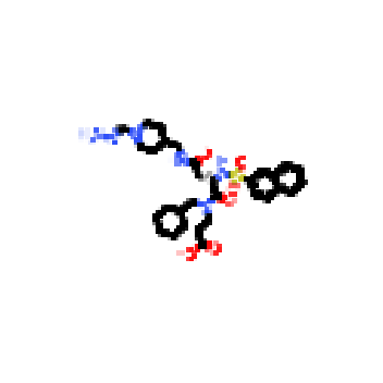 NN=CN1CCC(CNC(=O)C[C@H](NS(=O)(=O)c2ccc3ccccc3c2)C(=O)N(CCC(=O)O)CC2CCCCC2)CC1